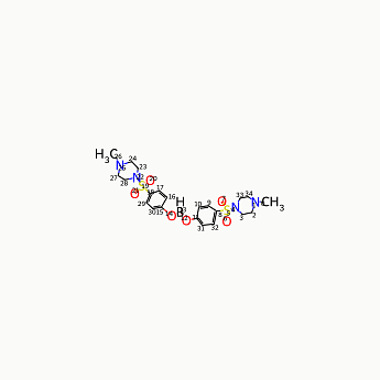 CN1CCN(S(=O)(=O)c2ccc(OBOc3ccc(S(=O)(=O)N4CCN(C)CC4)cc3)cc2)CC1